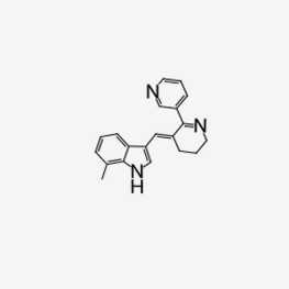 Cc1cccc2c(/C=C3\CCCN=C3c3cccnc3)c[nH]c12